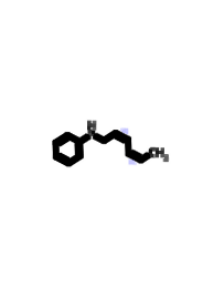 C/C=C\C=C/CPc1ccccc1